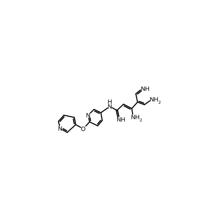 N=CC(=C\N)/C(N)=C/C(=N)Nc1ccc(Oc2cccnc2)nc1